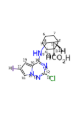 O=C(O)[C@H]1C2CCC(CC2)[C@@H]1Nc1nc(Cl)nn2cc(I)cc12